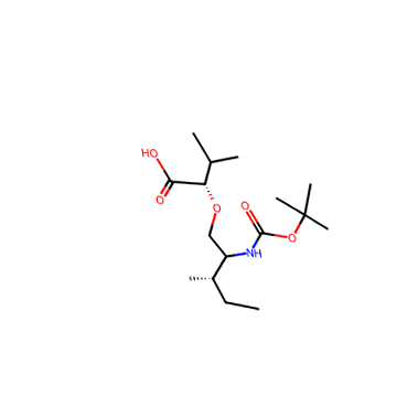 CC[C@H](C)C(CO[C@H](C(=O)O)C(C)C)NC(=O)OC(C)(C)C